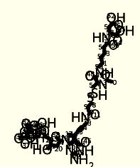 CC(=O)NC(CSSCCC(=O)NCC#Cc1cn(C2CC(O)C(COP(=O)(O)OP(=O)(O)OP(=O)(O)O)O2)c2nc(N)[nH]c(=O)c12)C(=O)NCCCCCC(=O)NC(CC(=O)O)C(=O)O